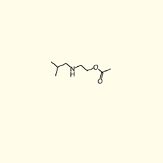 CC(=O)OCCNCC(C)C